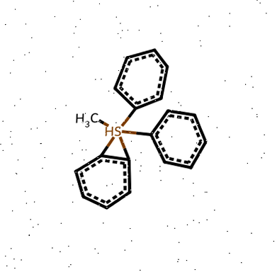 C[SH]1(c2ccccc2)(c2ccccc2)c2ccccc21